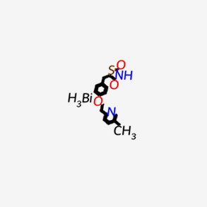 CCc1ccc(CCOc2ccc(CC3SC(=O)NC3=O)cc2)nc1.[BiH3]